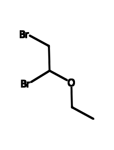 CCOC(Br)CBr